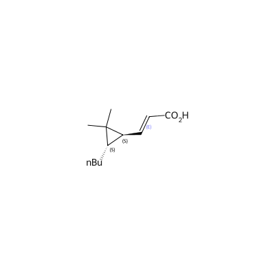 CCCC[C@H]1[C@H](/C=C/C(=O)O)C1(C)C